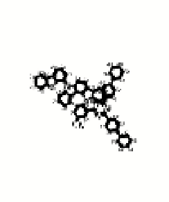 N#Cc1ccc(-n2c3ccccc3c3ccc4c(c5ccccc5n4-c4cccc5c4sc4ccccc45)c32)c(-c2nc(-c3ccc(-c4ccccc4)cc3)nc(-c3ccc(-c4ccccc4)cc3)n2)c1